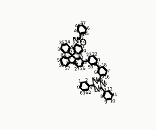 c1ccc(-c2nc(-c3ccccc3)nc(-c3cccc(-c4cccc(-c5ccc6c(c5)C(c5ccccc5)(c5ccc7oc(-c8ccccc8)nc7c5)c5ccccc5-6)c4)c3)n2)cc1